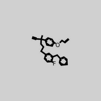 C#CC(C)(CCCc1ccc(F)c(Cc2ccccc2)c1)c1ccc(OCC=C)cc1